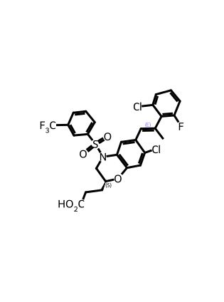 C/C(=C\c1cc2c(cc1Cl)O[C@@H](CCC(=O)O)CN2S(=O)(=O)c1cccc(C(F)(F)F)c1)c1c(F)cccc1Cl